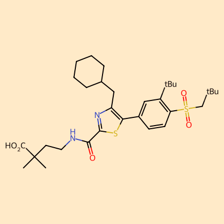 CC(C)(C)CS(=O)(=O)c1ccc(-c2sc(C(=O)NCCC(C)(C)C(=O)O)nc2CC2CCCCC2)cc1C(C)(C)C